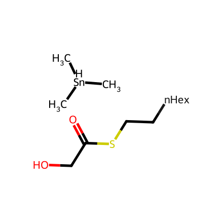 CCCCCCCCSC(=O)CO.[CH3][SnH]([CH3])[CH3]